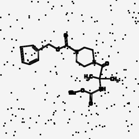 CC(C)(C)OC(=O)NC(C)(C)C(=O)N1CCN(C(=O)OCc2ccccc2)CC1